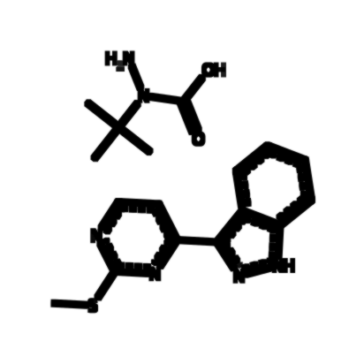 CC(C)(C)N(N)C(=O)O.CSc1nccc(-c2n[nH]c3ccccc23)n1